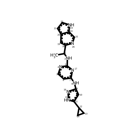 CC(Nc1nccc(Nc2cc(C3CC3)[nH]n2)n1)c1cc2cc[nH]c2cn1